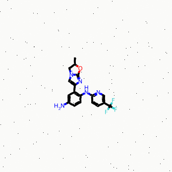 CC1Cn2cc(-c3cc(N)ccc3Nc3ccc(C(F)(F)F)cn3)nc2O1